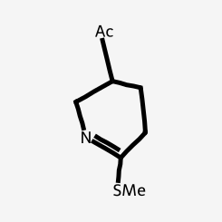 CSC1=NCC(C(C)=O)CC1